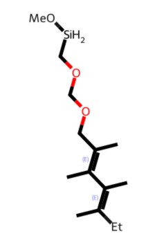 CC/C(C)=C(C)/C(C)=C(\C)COCOC[SiH2]OC